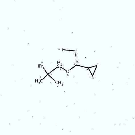 CC(C)C(C)(C)[SiH2]O[C@H](CI)C1CC1